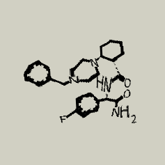 NC(=O)[C@@H](NC(=O)[C@H]1CCCC[C@@H]1N1CCN(Cc2ccccc2)CC1)c1ccc(F)cc1